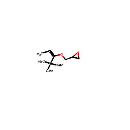 C/C=C(/OCC1CO1)[Si](OC)(OC)OC